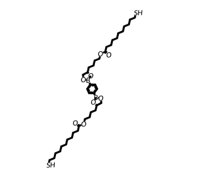 O=C(CCCCCCCCCCS)OCCCCC1COB(c2ccc(B3OCC(CCCCOC(=O)CCCCCCCCCCS)O3)cc2)O1